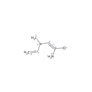 C=CN(C)/C=C(\N)Cl